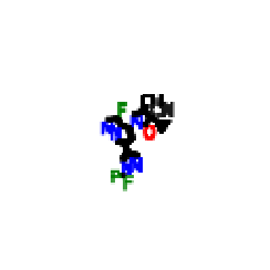 C[C@@H]1CN(c2cc(-c3cnn(C(F)F)c3)cn3ncc(F)c23)C(=O)[C@]1(C#N)C1CC1